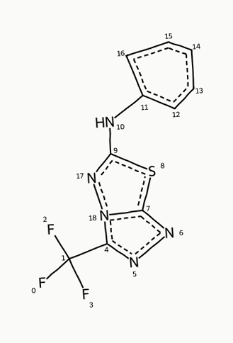 FC(F)(F)c1nnc2sc(Nc3ccccc3)nn12